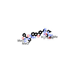 COC[C@H]1C[C@@H](c2nc3ccc4cc5c(cc4c3[nH]2)OCc2cc(-c3cnc([C@@H]4CC6CC6N4C(=O)[C@@H](NC(=O)OC)[C@@H](C)OC)[nH]3)ccc2-5)N(C(=O)[C@H](NC(=O)OC)C2C=CC=CC2)C1